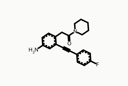 Nc1ccc(CC(=O)N2CCCCC2)c(C#Cc2ccc(F)cc2)c1